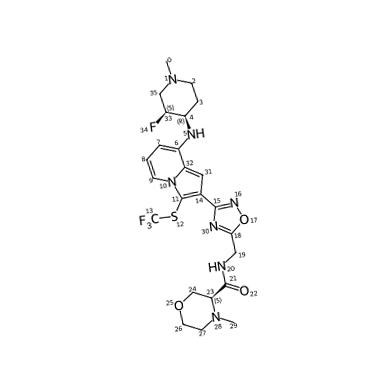 CN1CC[C@@H](Nc2cccn3c(SC(F)(F)F)c(-c4noc(CNC(=O)[C@@H]5COCCN5C)n4)cc23)[C@@H](F)C1